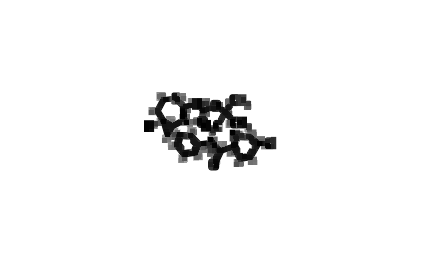 CC(C)(C)OC(=O)NC1=N[C@@]2(c3cccc(NC(=O)c4ccc(Cl)cn4)c3)C[C@H]2CCS1